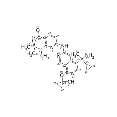 C[C@@H]1c2nc(Nc3cc4c(C(C)(N)C5CC5)cnc(OC5(C)CC5)c4cn3)ccc2C(=O)OC1(C)C